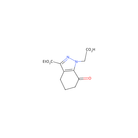 CCOC(=O)c1nn(CC(=O)O)c2c1CCCC2=O